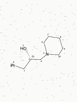 CC(C)C[C@H](O)CN1CCCCC1